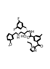 CCn1ccnc1C(=O)c1cc(C)cc(C(=O)N[C@@H](Cc2cc(F)cc(F)c2)[C@H](O)CNCc2cccc(OC)c2)c1